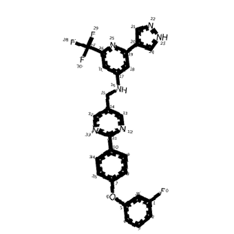 Fc1cccc(Oc2ccc(-c3ncc(CNc4cc(-c5cn[nH]c5)nc(C(F)(F)F)c4)cn3)cc2)c1